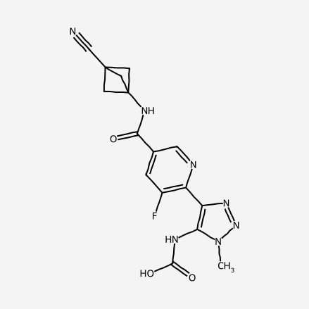 Cn1nnc(-c2ncc(C(=O)NC34CC(C#N)(C3)C4)cc2F)c1NC(=O)O